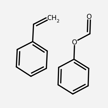 C=Cc1ccccc1.O=COc1ccccc1